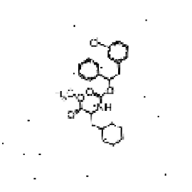 COC(=O)C(CC1CCCCC1)NC(=O)OC(Cc1cccc(Cl)c1)c1ccccc1